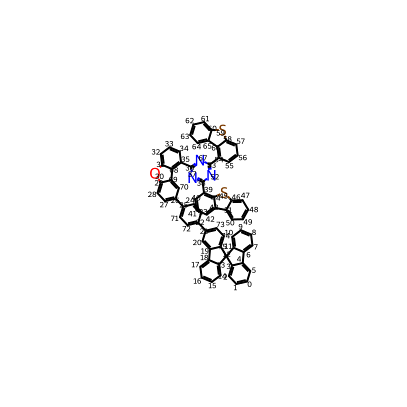 c1ccc2c(c1)-c1ccccc1C21c2ccccc2-c2cc(-c3ccc(-c4ccc5oc6cccc(-c7nc(-c8cccc9c8sc8ccccc89)nc(-c8cccc9sc%10ccccc%10c89)n7)c6c5c4)cc3)ccc21